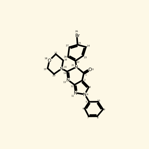 O=c1c2cn(-c3ccccc3)nc2nc(N2CCOCC2)n1-c1ccc(Br)cc1